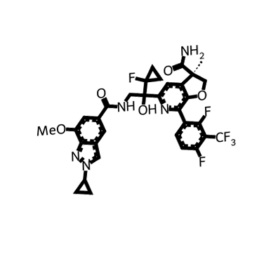 COc1cc(C(=O)NCC(O)(c2cc3c(c(-c4ccc(F)c(C(F)(F)F)c4F)n2)OC[C@]3(C)C(N)=O)C2(F)CC2)cc2cn(C3CC3)nc12